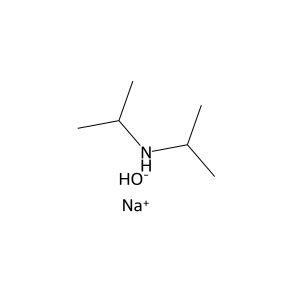 CC(C)NC(C)C.[Na+].[OH-]